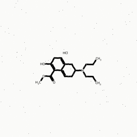 CCCN(CCC)C1CC=C2C(=CCC(O)=C2C(=O)OC)C1.Cl